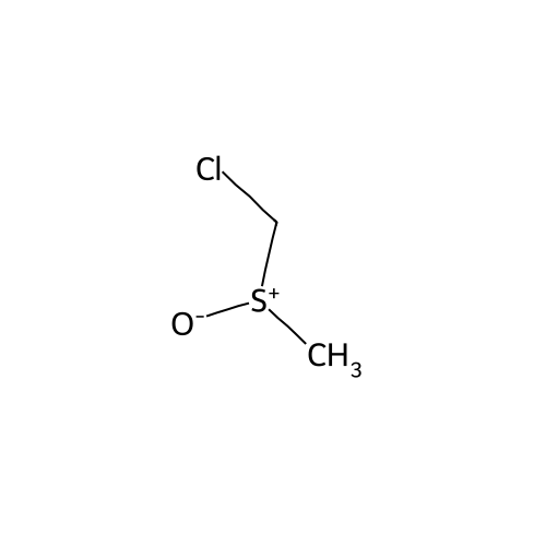 C[S+]([O-])CCl